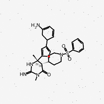 CN1C(=N)N[C@](C)(c2cc(C3C=CC=C(N)C3)cs2)[C@H](C2CCN(S(=O)(=O)c3ccccc3)CC2)C1=O